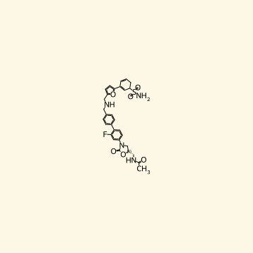 CC(=O)NC[C@H]1CN(c2ccc(-c3ccc(CNCc4ccc(C5=CC(S(N)(=O)=O)CC=C5)o4)cc3)c(F)c2)C(=O)O1